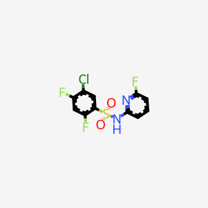 O=S(=O)(Nc1cccc(F)n1)c1cc(Cl)c(F)cc1F